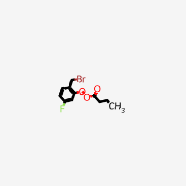 CCCC(=O)OOc1cc(F)ccc1CBr